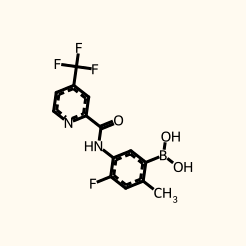 Cc1cc(F)c(NC(=O)c2cc(C(F)(F)F)ccn2)cc1B(O)O